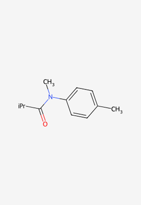 Cc1ccc(N(C)C(=O)C(C)C)cc1